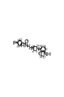 O=C(NCCN1CCN(c2cccc3c2OCCN3)CC1)c1ccc(F)cc1